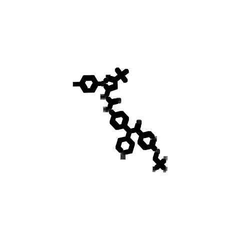 Cc1ccc(-n2nc(C(C)(C)C)cc2NC(=O)Nc2ccc(C(C(=O)c3ccc(OCC(F)(F)F)nc3)C3CCNCC3)cc2)cc1